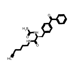 BC(=O)N[C@@H](Cc1ccc(C(=O)c2ccccc2)cc1)C(=O)NCCCCC#C